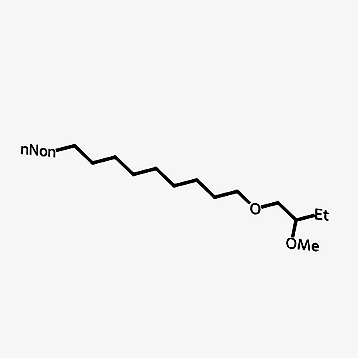 CCCCCCCCCCCCCCCCCCOCC(CC)OC